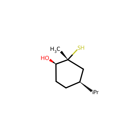 CC(C)[C@H]1CC[C@@H](O)[C@](C)(S)C1